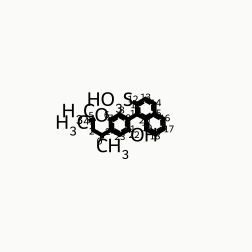 CC1CC(C)(C)Oc2cc(-c3c(S(=O)(=O)O)ccc4ccccc34)c(O)cc21